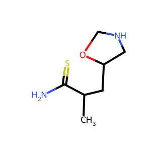 CC(CC1CNCO1)C(N)=S